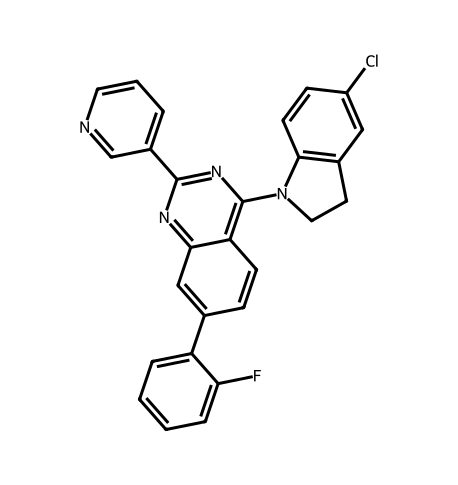 Fc1ccccc1-c1ccc2c(N3CCc4cc(Cl)ccc43)nc(-c3cccnc3)nc2c1